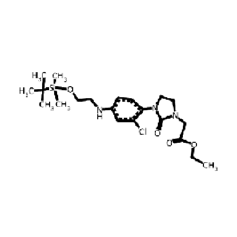 CCOC(=O)CN1CCN(c2ccc(NCCO[Si](C)(C)C(C)(C)C)cc2Cl)C1=O